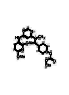 COc1ccc(Nc2cc(N(C)CC3CCN(OC(=O)OC(C)(C)C)CC3)ncn2)c(OC)n1